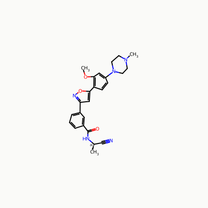 COc1cc(N2CCN(C)CC2)ccc1-c1cc(-c2cccc(C(=O)N[C@H](C)C#N)c2)no1